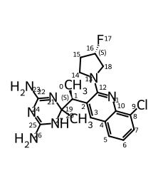 C[C@@H](c1cc2cccc(Cl)c2nc1N1CC[C@H](F)C1)C1(C)N=C(N)N=C(N)N1